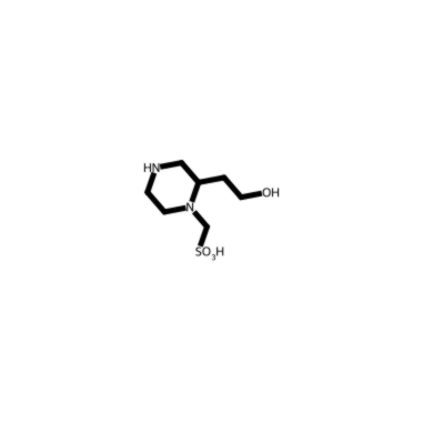 O=S(=O)(O)CN1CCNCC1CCO